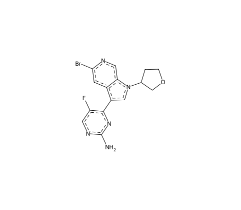 Nc1ncc(F)c(-c2cn(C3CCOC3)c3cnc(Br)cc23)n1